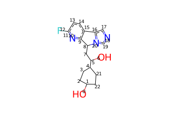 OC1CCC(C(O)CC2c3nc(F)ccc3-c3cncn32)CC1